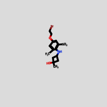 CC1(O)CC(Nc2c([N+](=O)[O-])cc(OCCBr)cc2C(F)(F)F)C1